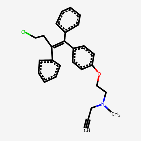 C#CCN(C)CCOc1ccc(C(=C(CCCl)c2ccccc2)c2ccccc2)cc1